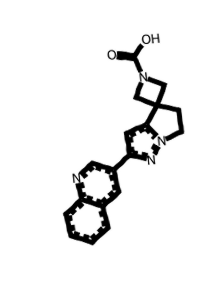 O=C(O)N1CC2(CCn3nc(-c4cnc5ccccc5c4)cc32)C1